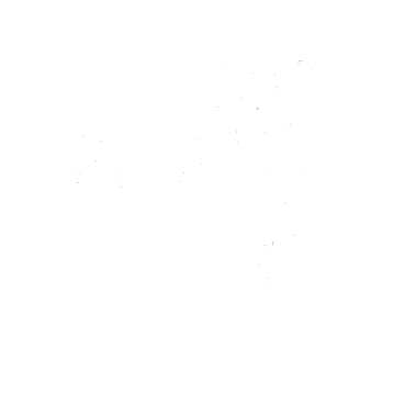 C=CC(=O)OC(C)CCOc1ccc(C2(c3ccc(OCCC(C)OC(=O)C=C)cc3)c3ccccc3-c3ccccc32)cc1